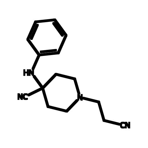 N#CCCN1CCC(C#N)(Nc2ccccc2)CC1